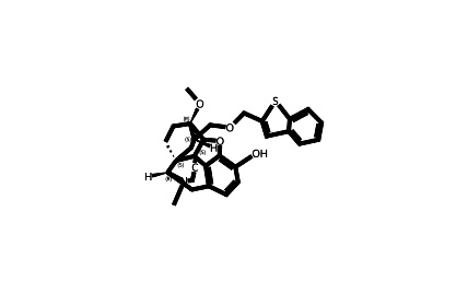 CO[C@]12CC[C@@]3(C[C@H]1COCc1cc4ccccc4s1)[C@H]1Cc4ccc(O)c5c4[C@@]3(CCN1C)C2O5